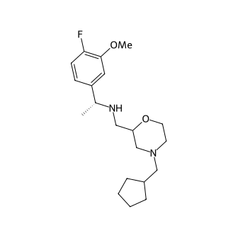 COc1cc([C@@H](C)NCC2CN(CC3CCCC3)CCO2)ccc1F